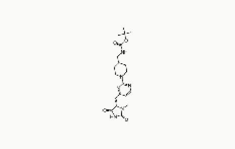 CN1C(=O)NC(=O)/C1=C/c1ccnc(N2CCC(CNC(=O)OC(C)(C)C)CC2)n1